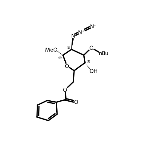 CCCCOC1[C@H](O)C(COC(=O)c2ccccc2)O[C@H](OC)[C@H]1N=[N+]=[N-]